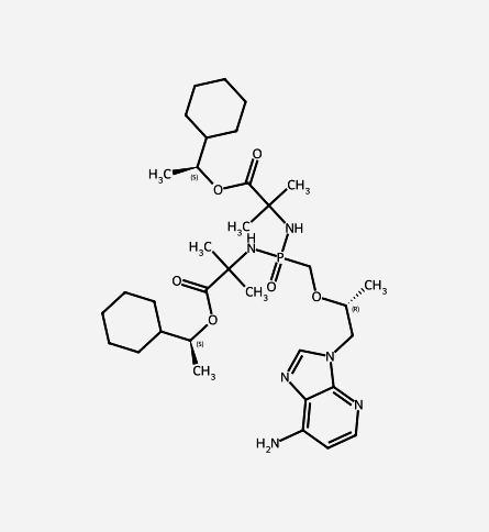 C[C@H](Cn1cnc2c(N)ccnc21)OCP(=O)(NC(C)(C)C(=O)O[C@@H](C)C1CCCCC1)NC(C)(C)C(=O)O[C@@H](C)C1CCCCC1